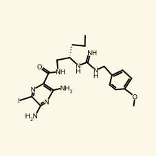 CCC[C@@H](CNC(=O)c1nc(I)c(N)nc1N)NC(=N)NCc1ccc(OC)cc1